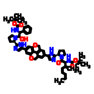 C=C(/C=C\C=C/C)[C@@H](NC(=O)OC(C)(C)C)C(=O)N1CCC[C@H]1c1ncc(-c2cc3c4c(c2)COc2cc(-c5cnc([C@@H]6CCCN6C(O)[C@H](NC(=O)OC(C)(C)C)c6ccccc6)[nH]5)cc(c2-4)OC3)[nH]1